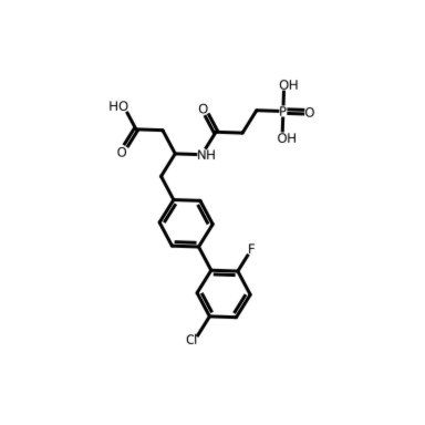 O=C(O)CC(Cc1ccc(-c2cc(Cl)ccc2F)cc1)NC(=O)CCP(=O)(O)O